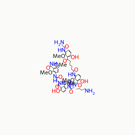 COc1ccc(NC(=O)CNC(=O)c2c(O)ccc(NC(=O)[C@@H](CCCCN)NC(=O)c3c(O)ccc(NC(=O)CCCCC(=O)c4c(O)ccc(NC(=O)CN)c4OC)c3OC)c2OC)c(OC)c1C(N)=O